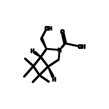 CC1(C)[C@@H]2[C@@H](CO)N(C(=O)O)C[C@@H]2C1(C)C